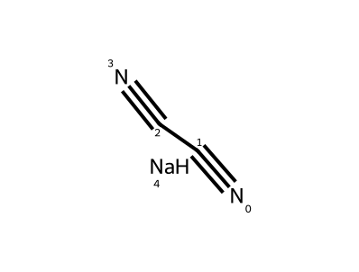 N#CC#N.[NaH]